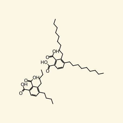 CCCCCCCCCc1ccc(C(=O)O)c(C(=O)O)c1CCCCCCCCC.CCCCc1ccc(C(=O)O)c(C(=O)O)c1CCCC